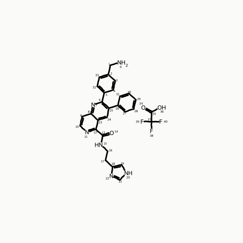 NCc1ccc(-c2nc3ccnc(C(=O)NCCc4c[nH]cn4)c3cc2-c2ccccc2)cc1.O=C(O)C(F)(F)F